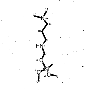 CO[Si](C)(OC)OCNCCCN(C)C